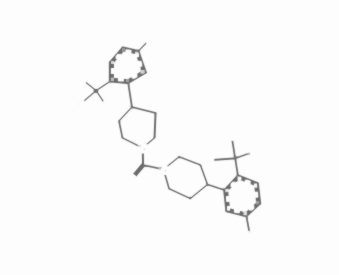 O=C(N1CCC(c2cc(Cl)ccc2C(F)(F)F)CC1)N1CCC(c2cc(Cl)ccc2C(F)(F)F)CC1